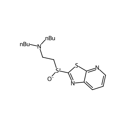 CCCCN(CCCC)CC[S+]([O-])c1nc2cccnc2s1